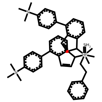 C[Si](C)(C)c1ccc(-c2cccc3c2C=C[CH]3[Hf]([CH3])([CH3])([CH3])(=[SiH2])([CH2]Cc2ccccc2)[CH]2C=Cc3c(-c4ccc([Si](C)(C)C)cc4)cccc32)cc1